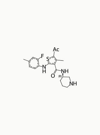 CC(=O)c1sc(Nc2ccc(C)cc2F)c(C(=O)N[C@@H]2CCCNC2)c1C